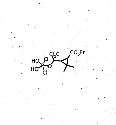 CCOC(=O)C1C(C(OP(O)(O)(Cl)Cl)C(Cl)(Cl)Cl)C1(C)C